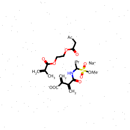 C=C(C(=C)C(=O)NC(C(C)C)S(=O)(=O)OC)C(=O)[O-].C=C(C)C(=O)OCCOC(=O)CC(C)=O.[Na+]